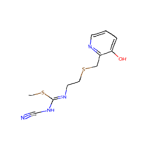 CS/C(=N\CCSCc1ncccc1O)NC#N